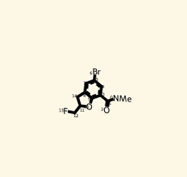 CNC(=O)c1cc(Br)cc2c1OC(CF)C2